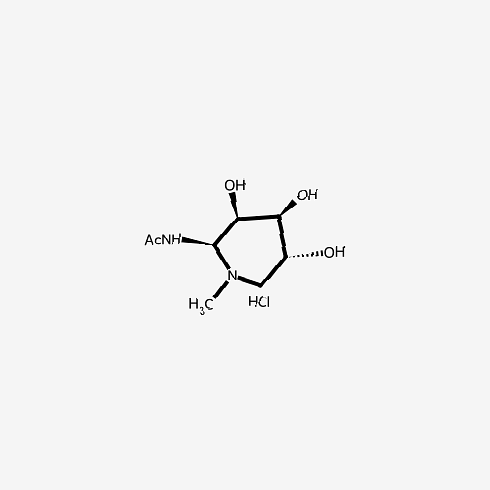 CC(=O)N[C@H]1[C@@H](O)[C@@H](O)[C@H](O)CN1C.Cl